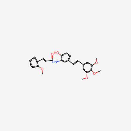 COc1ccccc1/C=C/C(=O)Nc1cc(/C=C/c2cc(OC)c(OC)c(OC)c2)ccc1O